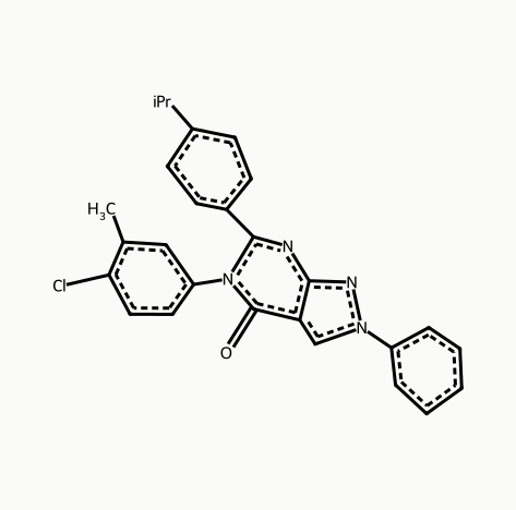 Cc1cc(-n2c(-c3ccc(C(C)C)cc3)nc3nn(-c4ccccc4)cc3c2=O)ccc1Cl